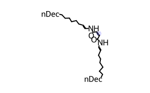 CCCCCCCCCCCCCCCCC=CNC(=O)/C=C\C(=O)NC=CCCCCCCCCCCCCCCCC